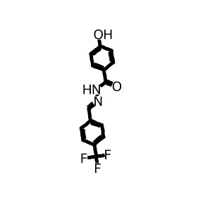 O=C(NN=Cc1ccc(C(F)(F)F)cc1)c1ccc(O)cc1